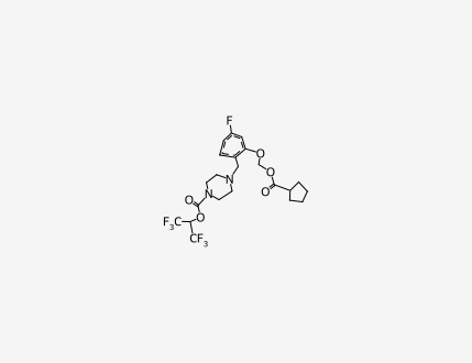 O=C(OCOc1cc(F)ccc1CN1CCN(C(=O)OC(C(F)(F)F)C(F)(F)F)CC1)C1CCCC1